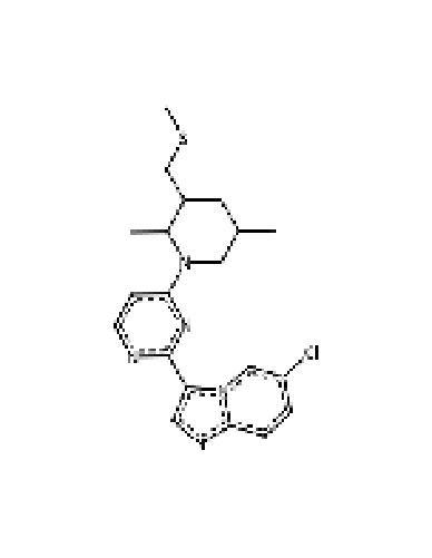 CSCC1CC(C)CN(c2ccnc(-c3cnc4ccc(Cl)cn34)n2)C1C